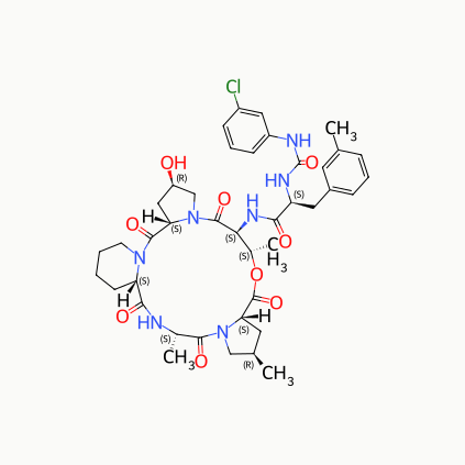 Cc1cccc(C[C@H](NC(=O)Nc2cccc(Cl)c2)C(=O)N[C@@H]2C(=O)N3C[C@H](O)C[C@H]3C(=O)N3CCCC[C@H]3C(=O)N[C@@H](C)C(=O)N3C[C@H](C)C[C@H]3C(=O)O[C@H]2C)c1